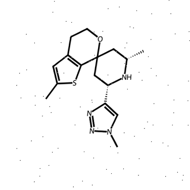 Cc1cc2c(s1)C1(C[C@@H](c3cn(C)nn3)N[C@@H](C)C1)OCC2